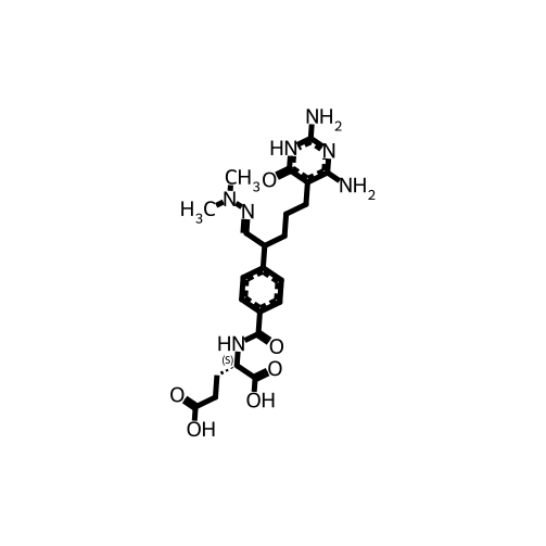 CN(C)N=CC(CCCc1c(N)nc(N)[nH]c1=O)c1ccc(C(=O)N[C@@H](CCC(=O)O)C(=O)O)cc1